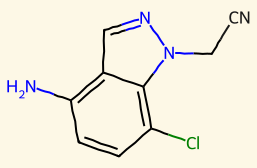 N#CCn1ncc2c(N)ccc(Cl)c21